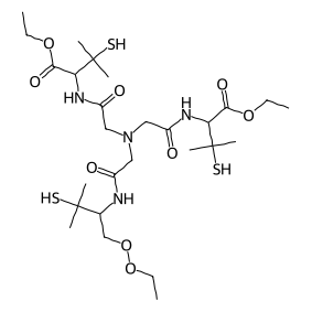 CCOOCC(NC(=O)CN(CC(=O)NC(C(=O)OCC)C(C)(C)S)CC(=O)NC(C(=O)OCC)C(C)(C)S)C(C)(C)S